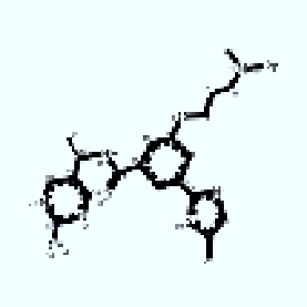 Cc1cnc(-c2cc(OCCCN(C)C(C)C)cc(C(=O)N[C@H](C)c3cnc(C(F)(F)F)nc3)c2)s1